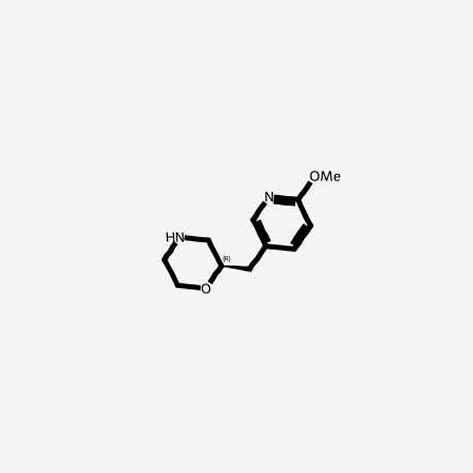 COc1ccc(C[C@@H]2CNCCO2)cn1